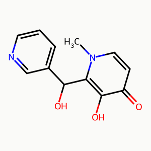 Cn1ccc(=O)c(O)c1C(O)c1cccnc1